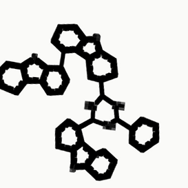 c1ccc(C2NC(c3ccc4oc5cccc(-c6cccc7c6sc6ccccc67)c5c4c3)NC(c3cccc4sc5ccccc5c34)N2)cc1